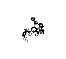 O=C([C@H](O)c1cccc(C(F)(F)F)c1)N1CCCc2nc(C3(c4cccc(-c5ncc(-c6ccccc6)s5)c4)CC3)[nH]c(=O)c2C1